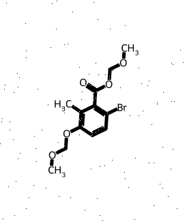 COCOC(=O)c1c(Br)ccc(OCOC)c1C